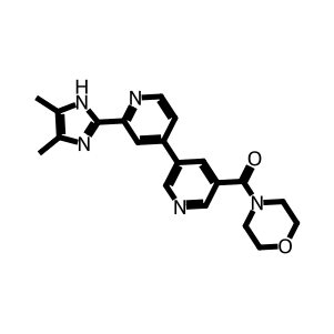 Cc1nc(-c2cc(-c3cncc(C(=O)N4CCOCC4)c3)ccn2)[nH]c1C